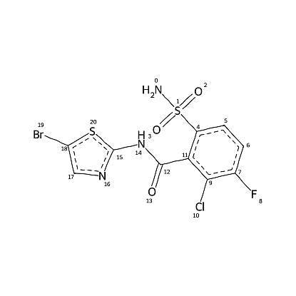 NS(=O)(=O)c1ccc(F)c(Cl)c1C(=O)Nc1ncc(Br)s1